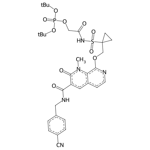 Cn1c(=O)c(C(=O)NCc2ccc(C#N)cc2)cc2ccnc(OCC3(S(=O)(=O)NC(=O)COP(=O)(OC(C)(C)C)OC(C)(C)C)CC3)c21